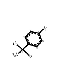 CCC(N)(CC)c1ccc(Br)cc1